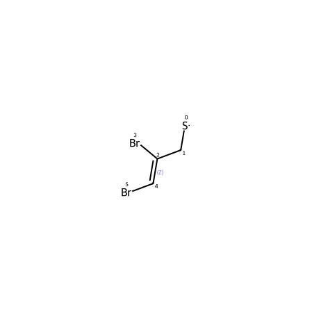 [S]C/C(Br)=C/Br